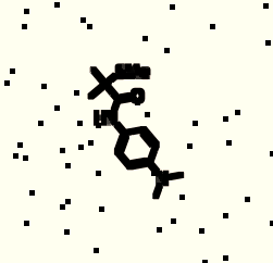 CSC(C)(C)C(=O)Nc1ccc(N(C)C)cc1